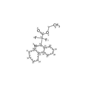 CCOC(=O)C(F)(F)c1nc2ccccc2c2ccccc12